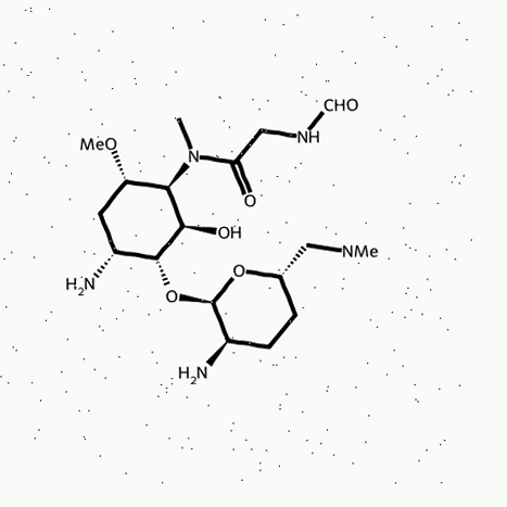 CNC[C@@H]1CC[C@@H](N)[C@@H](O[C@H]2[C@H](O)[C@H](N(C)C(=O)CNC=O)[C@@H](OC)C[C@H]2N)O1